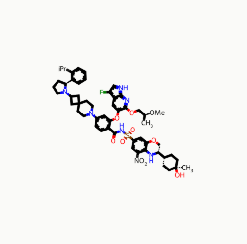 CO[C@@H](C)COc1nc2[nH]cc(F)c2cc1Oc1cc(N2CCC3(CC2)CC(N2CCC[C@H]2c2ccccc2C(C)C)C3)ccc1C(=O)NS(=O)(=O)c1cc2c(c([N+](=O)[O-])c1)N[C@@H]([C@H]1CC[C@](C)(O)CC1)CO2